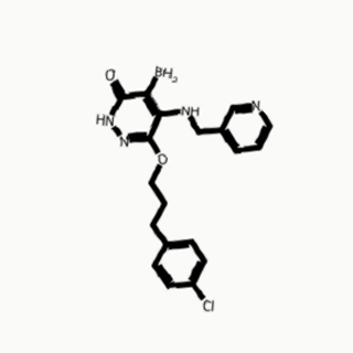 Bc1c(NCc2cccnc2)c(OCCCc2ccc(Cl)cc2)n[nH]c1=O